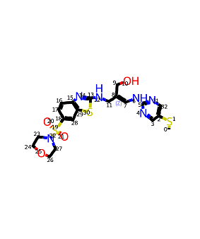 CSc1cnc(N/C=C(\CO)CNc2nc3ccc(S(=O)(=O)N4CCOCC4)cc3s2)nc1